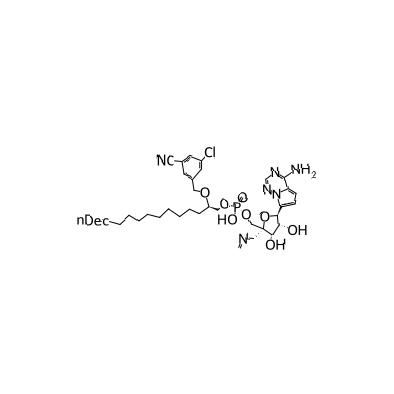 C=NC[C@]1(COP(=O)(O)OC[C@@H](CCCCCCCCCCCCCCCCCCC)OCc2cc(Cl)cc(C#N)c2)O[C@@H](c2ccc3c(N)ncnn23)[C@H](O)[C@@H]1O